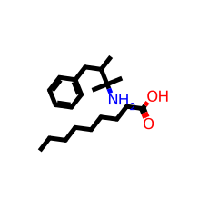 CC(Cc1ccccc1)C(C)(C)N.CCCCCCCCC(=O)O